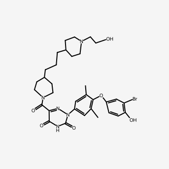 Cc1cc(-n2nc(C(=O)N3CCC(CCCC4CCN(CCO)CC4)CC3)c(=O)[nH]c2=O)cc(C)c1Oc1ccc(O)c(Br)c1